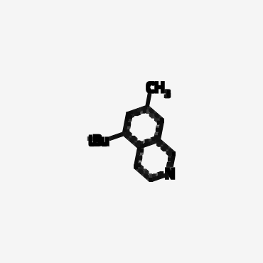 Cc1cc(C(C)(C)C)c2ccncc2c1